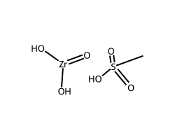 CS(=O)(=O)O.[O]=[Zr]([OH])[OH]